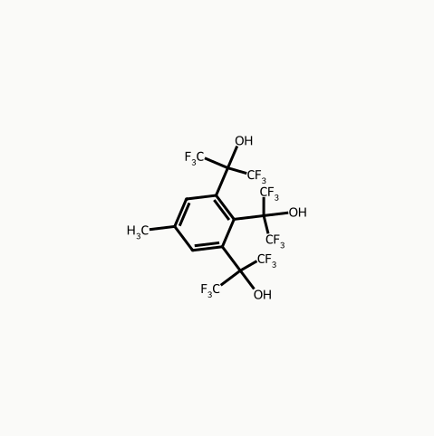 Cc1cc(C(O)(C(F)(F)F)C(F)(F)F)c(C(O)(C(F)(F)F)C(F)(F)F)c(C(O)(C(F)(F)F)C(F)(F)F)c1